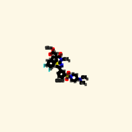 COc1ccc(-c2csc(N(C)C(=O)C3(CC(=O)OC(C)(C)C)Cc4cc(F)c(F)cc4C3)n2)cc1S(=O)(=O)N1CCC(N(C)C)CC1